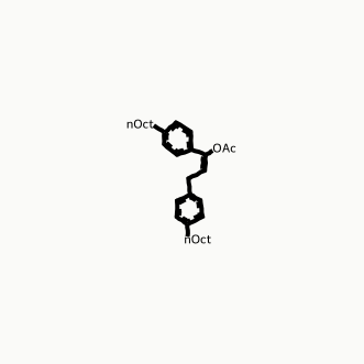 CCCCCCCCc1ccc(CC=C(OC(C)=O)c2ccc(CCCCCCCC)cc2)cc1